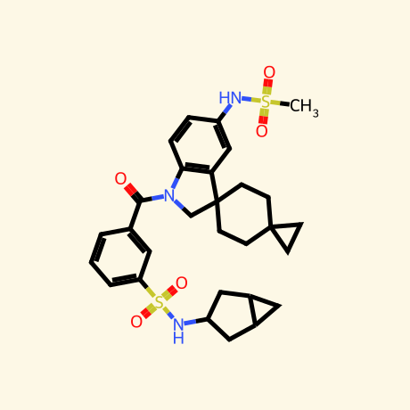 CS(=O)(=O)Nc1ccc2c(c1)C1(CCC3(CC3)CC1)CN2C(=O)c1cccc(S(=O)(=O)NC2CC3CC3C2)c1